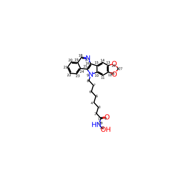 O=C(CCCCCCCn1c2cc3c(cc2c2ncc4ccccc4c21)OCO3)NO